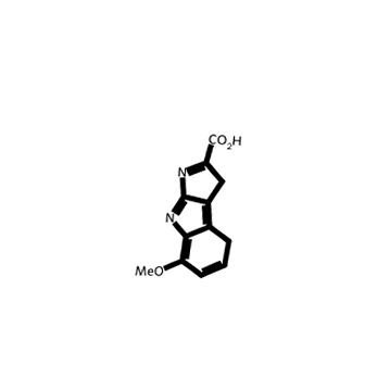 COC1=C2N=C3N=C(C(=O)O)CC3=C2CC=C1